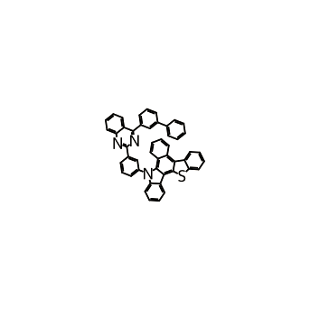 c1ccc(-c2cccc(-c3nc(-c4cccc(-n5c6ccccc6c6c7sc8ccccc8c7c7ccccc7c65)c4)nc4ccccc34)c2)cc1